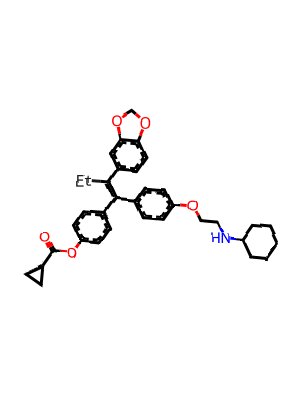 CC/C(=C(/c1ccc(OCCNC2CCCCC2)cc1)c1ccc(OC(=O)C2CC2)cc1)c1ccc2c(c1)OCO2